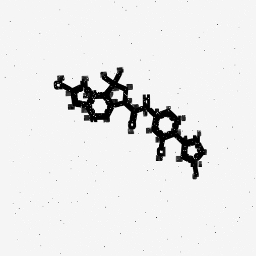 Cn1cnc(-c2ncc(NC(=O)C3CC(C)(C)c4c3cnc3cc(Cl)nn43)cc2Cl)c1